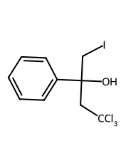 OC(CI)(CC(Cl)(Cl)Cl)c1ccccc1